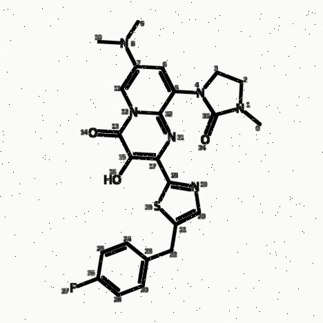 CN1CCN(c2cc(N(C)C)cn3c(=O)c(O)c(-c4ncc(Cc5ccc(F)cc5)s4)nc23)C1=O